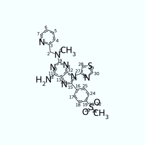 CN(Cc1ccccn1)c1nc(N)c2nc(-c3ccc(S(C)(=O)=O)cc3)n(-c3cscn3)c2n1